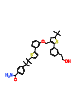 CC(C)(C)c1cc(COc2cccc(-c3ccc(C(C)(C)C(C)(C)c4ccc(C(N)=O)cc4)s3)c2)c(-c2cccc(CCO)c2)s1